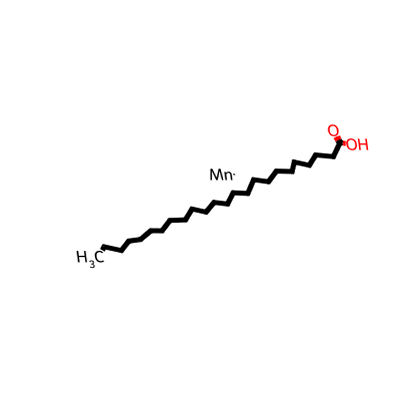 CCCCCCCCCCCCCCCCCCCCCCCC(=O)O.[Mn]